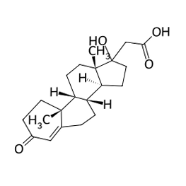 C[C@]12CCC(=O)C=C1CC[C@@H]1[C@H]2CC[C@@]2(C)[C@H]1CCC2(O)CC(=O)O